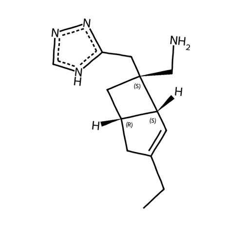 CCC1=C[C@@H]2[C@H](C1)C[C@]2(CN)Cc1nnc[nH]1